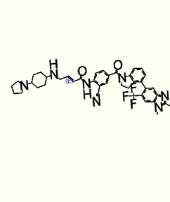 CCc1nc2cc(-c3cccc4c3CCN4C(=O)c3ccc(NC(=O)/C=C/CNC4CCC(N5CCCC5)CC4)c(C#N)c3)c(C(F)(F)F)cc2n1C